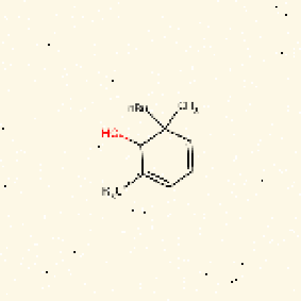 CCCCC1(C)C=CC=C(C)C1O